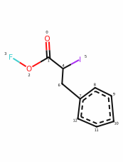 O=C(OF)C(I)Cc1ccccc1